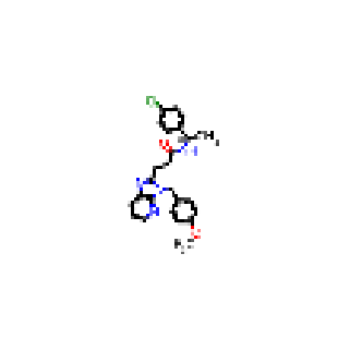 C[C@@H](NC(=O)CCc1nc2cccnc2n1Cc1ccc(OC(F)(F)F)cc1)c1ccc(Cl)cc1